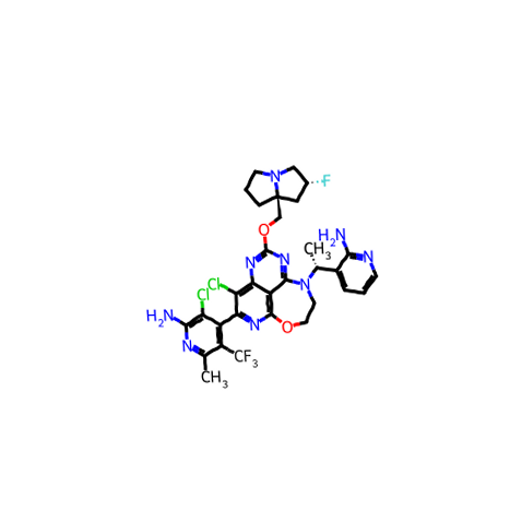 Cc1nc(N)c(Cl)c(-c2nc3c4c(nc(OC[C@@]56CCCN5C[C@H](F)C6)nc4c2Cl)N([C@H](C)c2cccnc2N)CCO3)c1C(F)(F)F